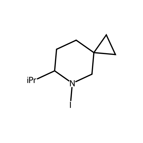 CC(C)C1CCC2(CC2)CN1I